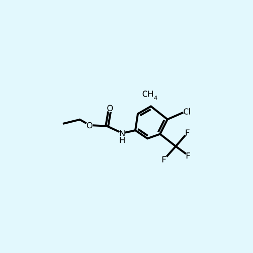 C.CCOC(=O)Nc1ccc(Cl)c(C(F)(F)F)c1